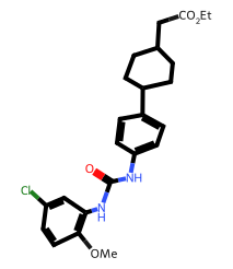 CCOC(=O)CC1CCC(c2ccc(NC(=O)Nc3cc(Cl)ccc3OC)cc2)CC1